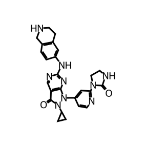 O=C1NCCN1c1cc(-n2c3nc(Nc4ccc5c(c4)CCNC5)ncc3c(=O)n2C2CC2)ccn1